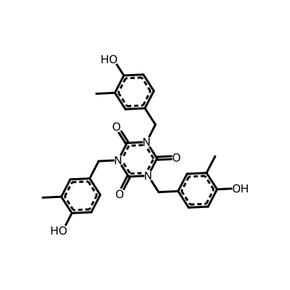 Cc1cc(Cn2c(=O)n(Cc3ccc(O)c(C)c3)c(=O)n(Cc3ccc(O)c(C)c3)c2=O)ccc1O